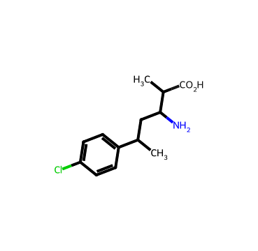 CC(CC(N)C(C)C(=O)O)c1ccc(Cl)cc1